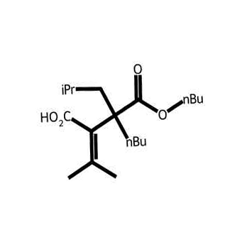 CCCCOC(=O)C(CCCC)(CC(C)C)C(C(=O)O)=C(C)C